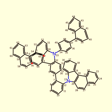 c1ccc(-c2cc(-c3ccccc3-n3c4ccccc4c4c5ccccc5ccc43)ccc2N(c2ccc(-c3cccc4ccccc34)cc2)c2cccc(-c3cccc4ccccc34)c2)cc1